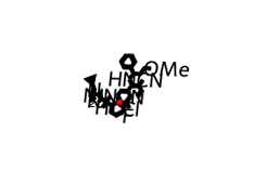 [2H]C(Nc1cc(Cl)c2ncc(C#N)c(NC(CCOC)c3ccccc3)c2c1)(c1ccc(F)cc1)c1cn(C2CC2)nn1